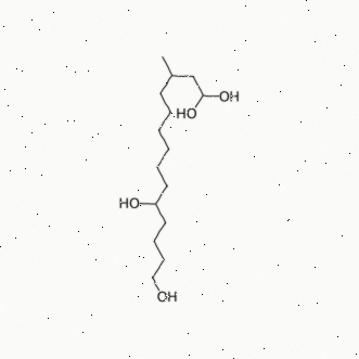 CC(CCCCCCC(O)CCCCO)CC(O)O